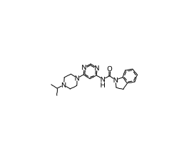 CC(C)N1CCN(c2cc(NC(=O)N3CCc4ccccc43)ncn2)CC1